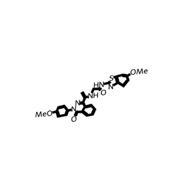 C=C(NCC(=O)Nc1nc2ccc(OC)cc2s1)c1nn(-c2ccc(OC)cc2)c(=O)c2ccccc12